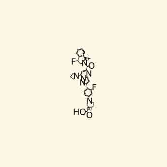 C[C@@H]1c2ccccc2C(F)CN1C(=O)c1cc(N2CCC2)n2nc(-c3ccc(N4CC[C@H](C(=O)O)C4)cc3F)cc2n1